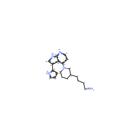 NCCCCC1CCCN(c2ccnc3[nH]cc(-c4ccc[nH]4)c23)C1